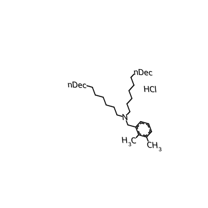 CCCCCCCCCCCCCCCCN(CCCCCCCCCCCCCCCC)Cc1cccc(C)c1C.Cl